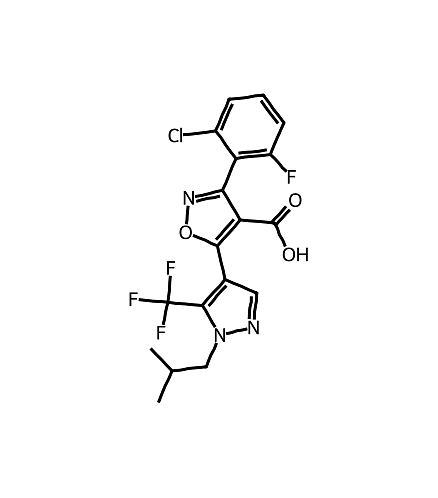 CC(C)Cn1ncc(-c2onc(-c3c(F)cccc3Cl)c2C(=O)O)c1C(F)(F)F